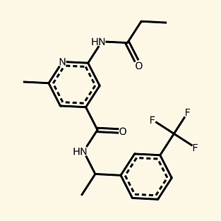 CCC(=O)Nc1cc(C(=O)NC(C)c2cccc(C(F)(F)F)c2)cc(C)n1